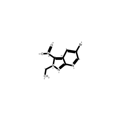 CCn1nc2ncc(Br)cc2c1[N+](=O)[O-]